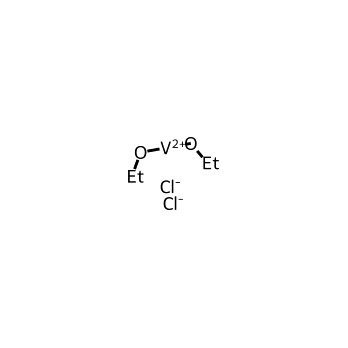 CC[O][V+2][O]CC.[Cl-].[Cl-]